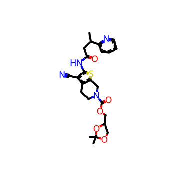 CC(CC(=O)Nc1sc2c(c1C#N)CCN(C(=O)OCC1COC(C)(C)O1)C2)c1ccccn1